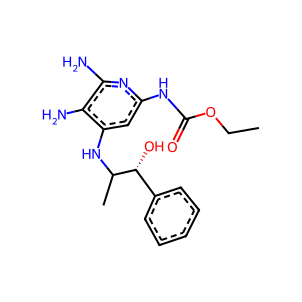 CCOC(=O)Nc1cc(NC(C)[C@H](O)c2ccccc2)c(N)c(N)n1